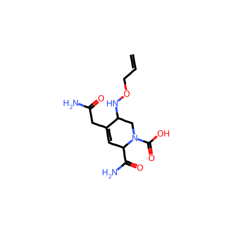 C=CCONC1CN(C(=O)O)C(C(N)=O)C=C1CC(N)=O